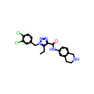 CCc1c(C(=O)Nc2ccc3c(c2)CCNC3)nnn1Cc1ccc(Cl)c(Cl)c1